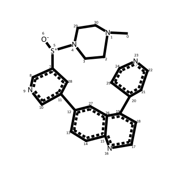 CN1CCN([S+]([O-])c2cncc(-c3ccc4nccc(-c5ccncc5)c4c3)c2)CC1